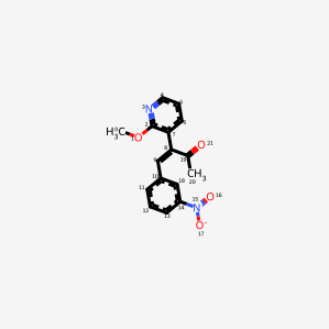 COc1ncccc1C(=Cc1cccc([N+](=O)[O-])c1)C(C)=O